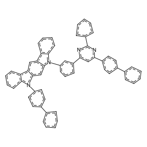 c1ccc(-c2ccc(-c3cc(-c4cccc(-n5c6ccccc6c6cc7c8ccccc8n(-c8ccc(-c9ccccc9)cc8)c7cc65)c4)nc(-c4ccccc4)n3)cc2)cc1